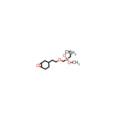 CC[Si](COCCC1CCC2OC2C1)(OC)OC